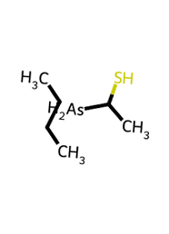 CC(S)[AsH2].CCCC